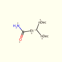 CCC(N)=O.CCCCCCCCCCCCCCCCCCCCC